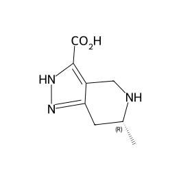 C[C@@H]1Cc2n[nH]c(C(=O)O)c2CN1